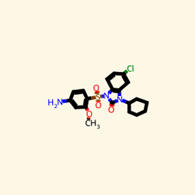 COc1cc(N)ccc1S(=O)(=O)n1c(=O)n(C2CCCCC2)c2cc(Cl)ccc21